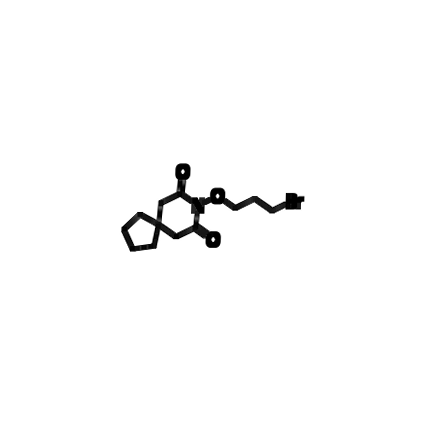 O=C1CC2(CCCC2)CC(=O)N1OCCCBr